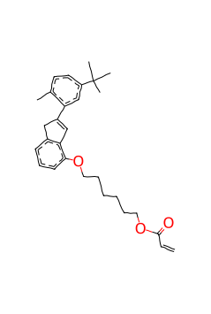 C=CC(=O)OCCCCCCOc1cccc2c1C=C(c1cc(C(C)(C)C)ccc1C)C2